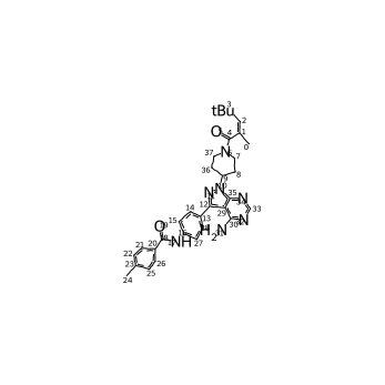 C/C(=C/C(C)(C)C)C(=O)N1CCC(n2nc(-c3ccc(NC(=O)c4ccc(C)cc4)cc3)c3c(N)ncnc32)CC1